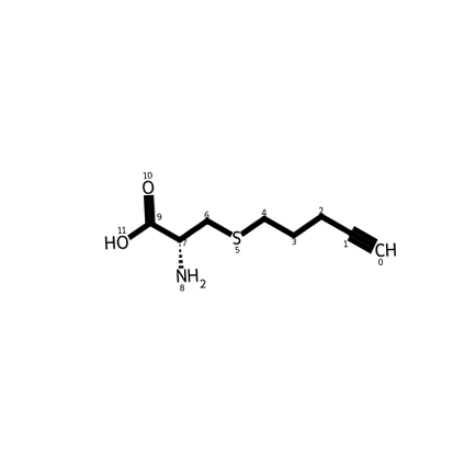 C#CCCCSC[C@H](N)C(=O)O